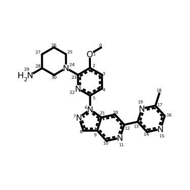 COc1ccc(-n2ncc3cnc(-c4cncc(C)n4)cc32)nc1N1CCCC(N)C1